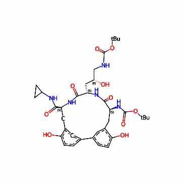 CC(C)(C)OC(=O)NC[C@H](O)C[C@@H]1NC(=O)[C@@H](NC(=O)OC(C)(C)C)Cc2cc(ccc2O)-c2ccc(O)c(c2)C[C@@H](C(=O)NC2CC2)NC1=O